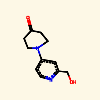 O=C1CCN(c2ccnc(CO)c2)CC1